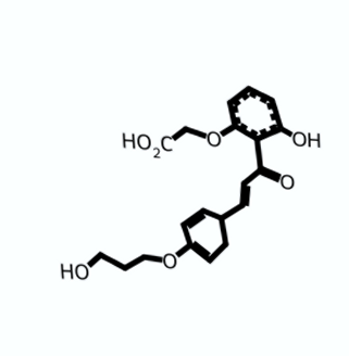 O=C(O)COc1cccc(O)c1C(=O)C=CC1C=CC(OCCCO)=CC1